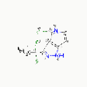 CC(F)(F)c1n[nH]c2ccnc(Cl)c12